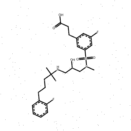 CN(CC(O)CNC(C)(C)CCCc1ccccc1F)S(=O)(=O)c1cc(F)cc(CCC(=O)O)c1